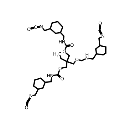 CCC(COCNCC1CCCC(CN=C=O)C1)(COC(=O)NCC1CCCC(CN=C=O)C1)COC(=O)NCC1CCCC(CN=C=O)C1